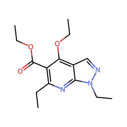 CCOC(=O)c1c(CC)nc2c(cnn2CC)c1OCC